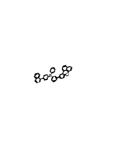 c1ccc(N(c2ccc(-c3cccc4ccccc34)cc2)c2cccc(-c3ccc4c(c3)-c3cccc5cccc(c35)O4)c2)cc1